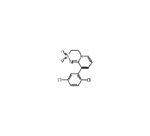 O=S1(=O)CCN2C=CC=C(c3cc(Cl)ccc3Cl)C2=N1